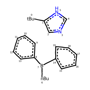 CC(C)(C)c1cnc[nH]1.CCCCB(c1ccccc1)c1ccccc1